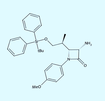 COc1ccc(N2C(=O)[C@@H](N)[C@H]2[C@H](C)CO[Si](c2ccccc2)(c2ccccc2)C(C)(C)C)cc1